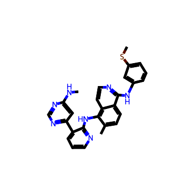 CNc1cc(-c2cccnc2Nc2c(C)ccc3c(Nc4cccc(SC)c4)nccc23)ncn1